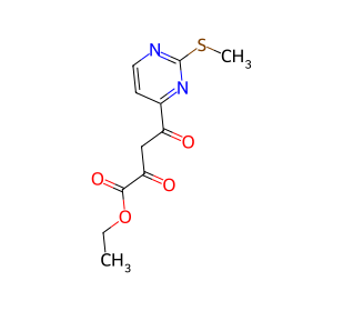 CCOC(=O)C(=O)CC(=O)c1ccnc(SC)n1